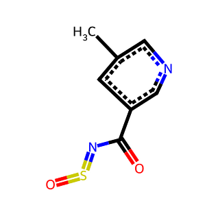 Cc1cncc(C(=O)N=S=O)c1